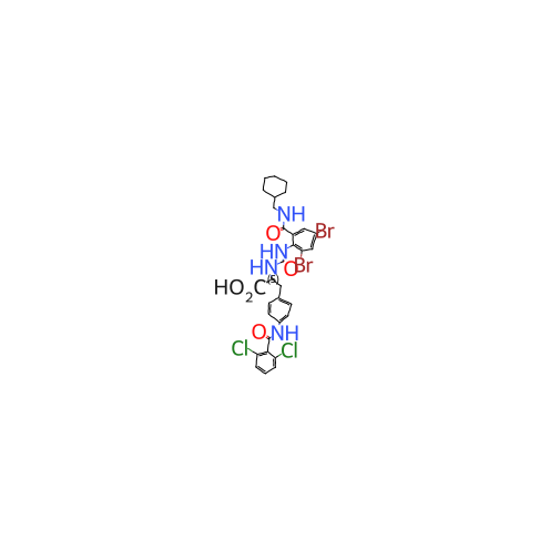 O=C(Nc1c(Br)cc(Br)cc1C(=O)NCC1CCCCC1)N[C@@H](Cc1ccc(NC(=O)c2c(Cl)cccc2Cl)cc1)C(=O)O